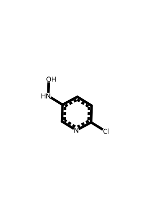 ONc1ccc(Cl)nc1